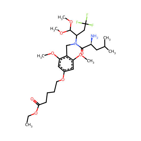 CCOC(=O)CCCCOc1cc(OC)c(CN(C(=O)[C@@H](N)CC(C)C)C(CC(F)(F)F)C(OC)OC)c(OC)c1